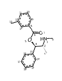 CN[C@H](C)[C@H](OC(=O)c1cccc(C)c1)c1ccccc1